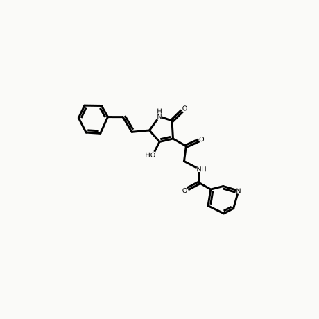 O=C(CNC(=O)c1cccnc1)C1=C(O)C(C=Cc2ccccc2)NC1=O